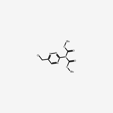 CC(C)(C)OC(=O)N(C(=O)OC(C)(C)C)c1ncc(CCl)nn1